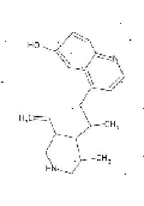 C=CC1CNCC(C)C1C(C)Cc1ccnc2ccc(O)cc12